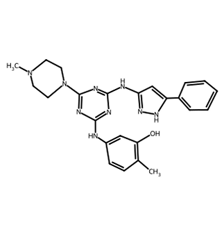 Cc1ccc(Nc2nc(Nc3cc(-c4ccccc4)[nH]n3)nc(N3CCN(C)CC3)n2)cc1O